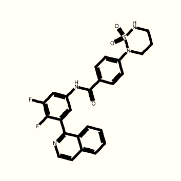 O=C(Nc1cc(F)c(F)c(-c2nccc3ccccc23)c1)c1ccc(N2CCCNS2(=O)=O)cc1